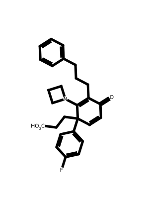 O=C(O)CCC1(c2ccc(F)cc2)C=CC(=O)C(CCCc2ccccc2)=C1N1CCC1